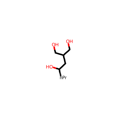 CCCC(O)CC(CO)CO